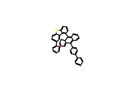 C1=CCC2C(=C1)C(c1ccc(-c3ccccc3)cc1)=c1ccccc1=C2c1cccc2sc3ccc(-c4ccccc4)cc3c12